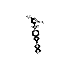 Cc1cc(S(=O)(=O)N2CCC3(CC2)CC(N2CC4(COC4)C2)C3)n(C)n1